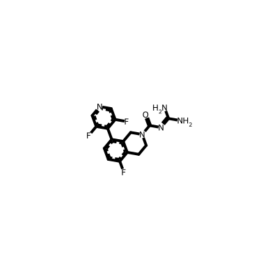 NC(N)=NC(=O)N1CCc2c(F)ccc(-c3c(F)cncc3F)c2C1